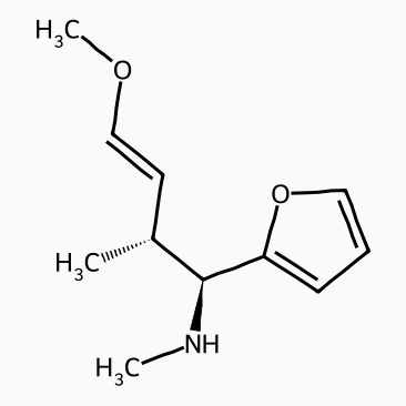 CN[C@H](c1ccco1)[C@H](C)/C=C/OC